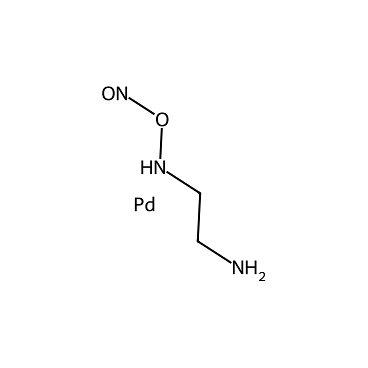 NCCNON=O.[Pd]